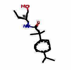 CC[C@@H](CO)NC(=O)C(C)(C)c1ccc(C(C)C)cc1